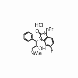 CCCn1c(=O)n([C@@H](c2ccccc2)[C@@H](O)CNC)c2cc(F)ccc21.Cl